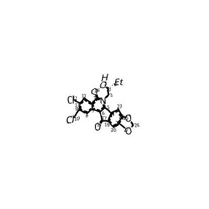 CC[C@@H](O)Cn1c2c(c3cc(Cl)c(Cl)cc3c1=O)C(=O)c1cc3c(cc1-2)OCO3